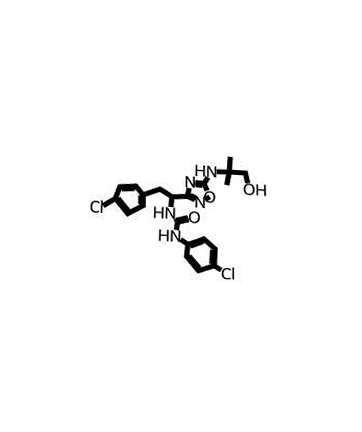 CC(C)(CO)Nc1nc(C(Cc2ccc(Cl)cc2)NC(=O)Nc2ccc(Cl)cc2)no1